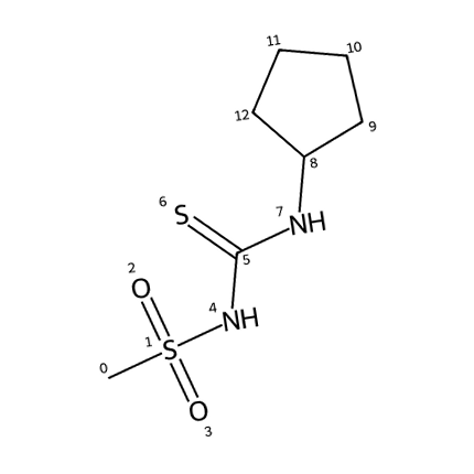 CS(=O)(=O)NC(=S)NC1CCCC1